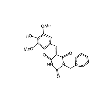 COc1cc(/C=C2\C(=O)NC(=O)N(Cc3ccccc3)C2=O)cc(OC)c1O